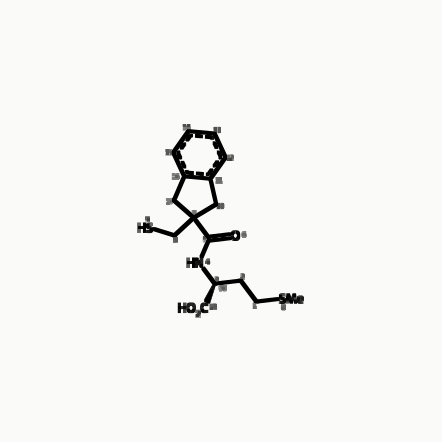 CSCC[C@H](NC(=O)C1(CS)Cc2ccccc2C1)C(=O)O